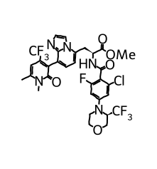 COC(=O)[C@H](Cc1ccc(-c2c(C(F)(F)F)cc(C)n(C)c2=O)c2nccn12)NC(=O)c1c(F)cc(N2CCOC[C@@H]2C(F)(F)F)cc1Cl